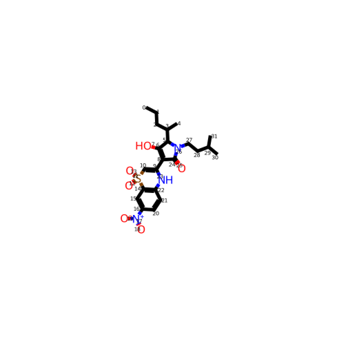 CCCC(C)C1C(O)=C(C2=CS(=O)(=O)c3cc([N+](=O)[O-])ccc3N2)C(=O)N1CCC(C)C